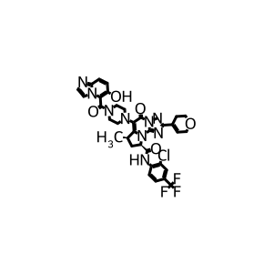 C[C@@H]1C[C@H](C(=O)Nc2ccc(C(F)(F)F)cc2Cl)n2c1c(N1CCN(C(=O)c3c(O)ccc4nccn34)CC1)c(=O)n1nc(C3=CCOCC3)nc21